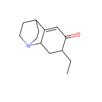 CCC1CC2C(=CC1=O)C1CCN2CC1